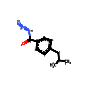 CC(C)Cc1ccc(C(=O)N=[N+]=[N-])cc1